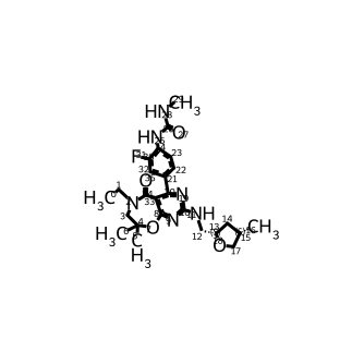 CCN1CC(C)(C)Oc2nc(NC[C@@H]3C[C@H](C)CO3)nc(-c3ccc(NC(=O)NC)c(F)c3)c2C1=O